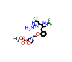 COC(=O)[C@@H]1CN(CCOc2ccccc2Cc2cn(C(F)F)nc2-c2cc(Cl)nc(N)n2)CCO1